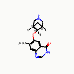 COc1cc2nc[nH]c(=O)c2cc1O[C@@H]1[C@@H]2CNC[C@H]1C2